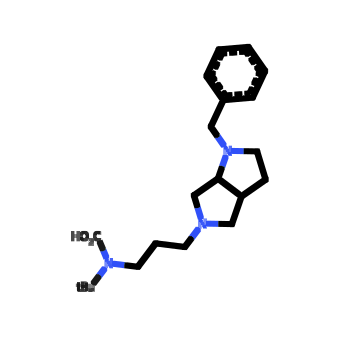 CC(C)(C)N(CCCN1CC2CCN(Cc3ccccc3)C2C1)C(=O)O